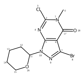 Cn1c(Cl)nc2c(c(Br)nn2C2CCCCO2)c1=O